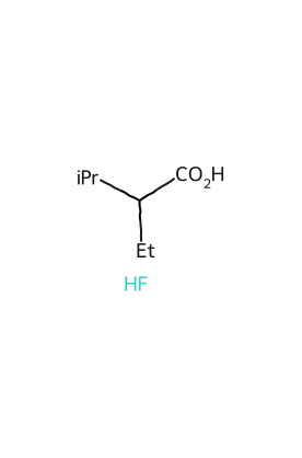 CCC(C(=O)O)C(C)C.F